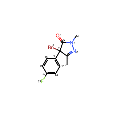 CC1=NN(C)C(=O)C1(Br)c1ccc(F)cc1